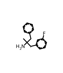 CC(N)([CH]c1cccc(F)c1)Cc1ccccc1